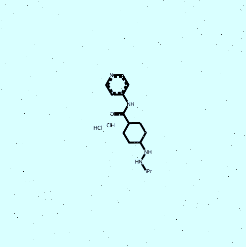 CC(C)NNC1CCC(C(=O)Nc2ccncc2)CC1.Cl.Cl